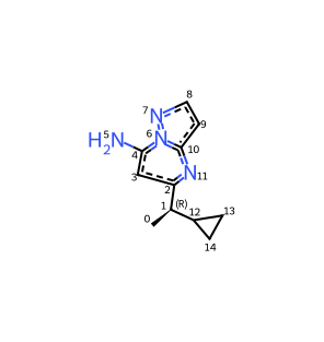 C[C@@H](c1cc(N)n2nccc2n1)C1CC1